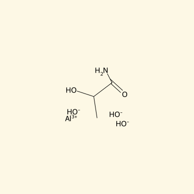 CC(O)C(N)=O.[Al+3].[OH-].[OH-].[OH-]